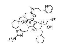 COC1(CN(CC(=O)N(C)CCc2ccccn2)C(=O)C[C@@H](Cc2csc(N)n2)C(=O)N[C@@H](CC2CCCCC2)[C@@H](O)[C@@H](O)CC(C)C)CCCCC1